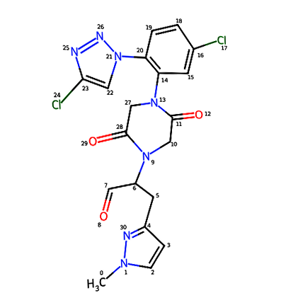 Cn1ccc(CC(C=O)N2CC(=O)N(c3cc(Cl)ccc3-n3cc(Cl)nn3)CC2=O)n1